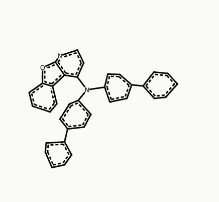 c1ccc(-c2ccc(N(c3ccc(-c4ccccc4)cc3)c3ccnc4oc5ccccc5c34)cc2)cc1